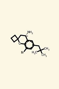 CC(C)(C)Cc1cc(Br)c2c(c1)[C@@H](N)CC1(CCC1)O2